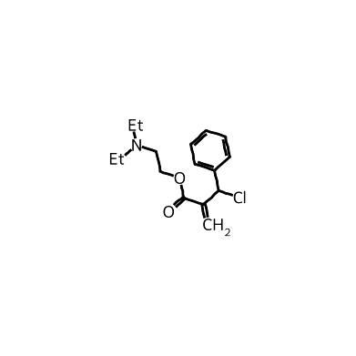 C=C(C(=O)OCCN(CC)CC)C(Cl)c1ccccc1